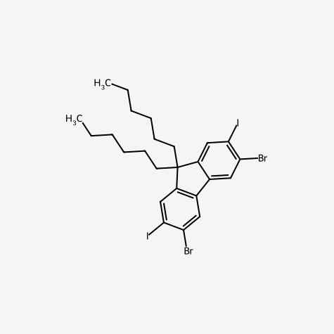 CCCCCCC1(CCCCCC)c2cc(I)c(Br)cc2-c2cc(Br)c(I)cc21